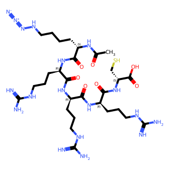 CC(=O)N[C@@H](CCCCNN=[N+]=[N-])C(=O)N[C@H](CCCNC(=N)N)C(=O)N[C@H](CCCNC(=N)N)C(=O)N[C@H](CCCNC(=N)N)C(=O)N[C@H](CS)C(=O)O